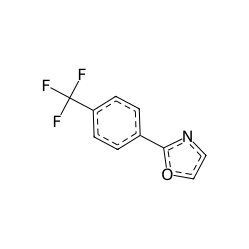 FC(F)(F)c1ccc(-c2ncco2)cc1